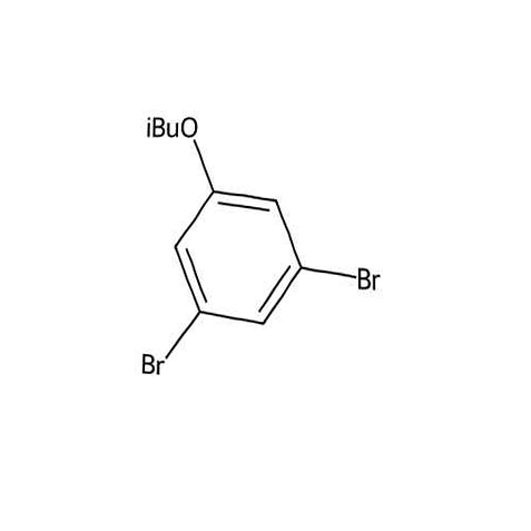 CC(C)COc1cc(Br)cc(Br)c1